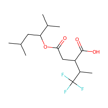 CC(C)CC(OC(=O)CC(C(=O)O)C(C)C(F)(F)F)C(C)C